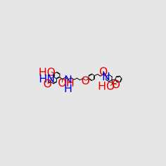 O=C(CCc1ccc(OCCCCCNCC(O)c2ccc(O)c3[nH]c(=O)ccc23)cc1)N1CCC(C(=O)O)(c2ccccc2)CC1